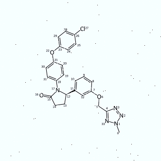 Cn1nnc(COc2cccc([C@H]3CCC(=O)N3c3ccc(Oc4ccc(Cl)cc4)cc3)c2)n1